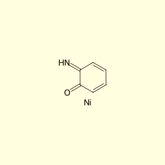 N=C1C=CC=CC1=O.[Ni]